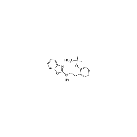 CC(C)N(CCc1ccccc1OC(C)(C)C(=O)O)c1nc2ccccc2o1